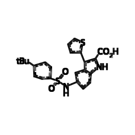 CC(C)(C)c1ccc(S(=O)(=O)Nc2ccc3[nH]c(C(=O)O)c(-c4cccs4)c3c2)cc1